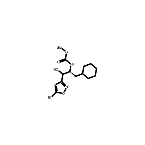 CCc1nc(C(O)[C@H](CC2CCCCC2)NC(=O)OC(C)(C)C)no1